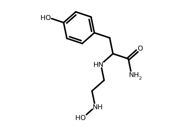 NC(=O)C(Cc1ccc(O)cc1)NCCNO